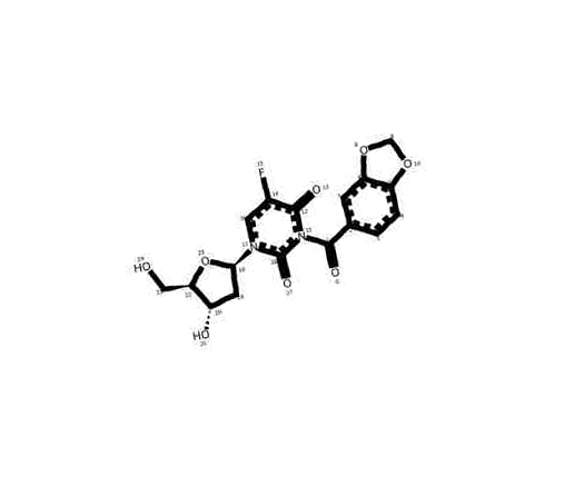 O=C(c1ccc2c(c1)OCO2)n1c(=O)c(F)cn([C@H]2C[C@H](O)[C@@H](CO)O2)c1=O